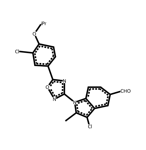 Cc1c(Cl)c2cc(C=O)ccc2n1-c1noc(-c2ccc(OC(C)C)c(Cl)c2)n1